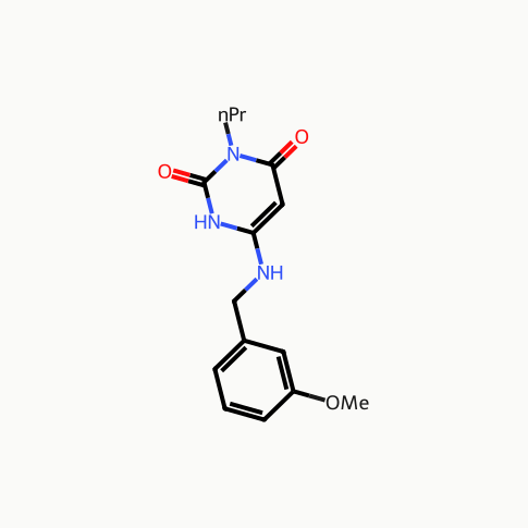 CCCn1c(=O)cc(NCc2cccc(OC)c2)[nH]c1=O